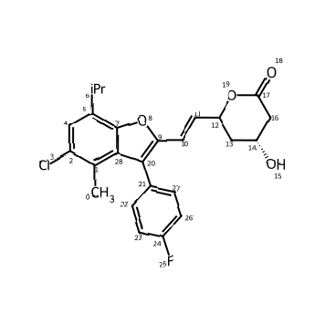 Cc1c(Cl)cc(C(C)C)c2oc(C=CC3C[C@@H](O)CC(=O)O3)c(-c3ccc(F)cc3)c12